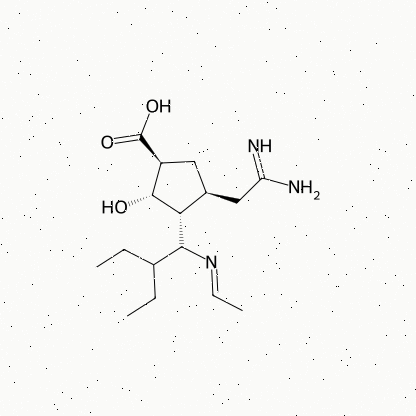 C/C=N/C(C(CC)CC)[C@H]1[C@H](CC(=N)N)C[C@H](C(=O)O)[C@H]1O